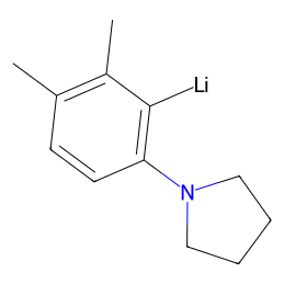 [Li][c]1c(N2CCCC2)ccc(C)c1C